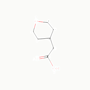 O=C(O)[CH]C1CCOCC1